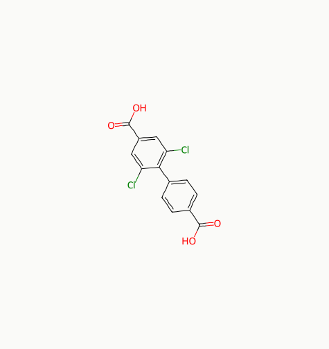 O=C(O)c1ccc(-c2c(Cl)cc(C(=O)O)cc2Cl)cc1